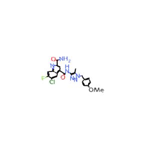 COc1ccc(Cn2nnc(NC(=O)c3cc(C(N)=O)nc4cc(F)c(Cl)cc34)c2C)cc1